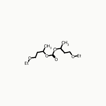 CCOCCC(C)OC(=O)OC(C)CCOCC